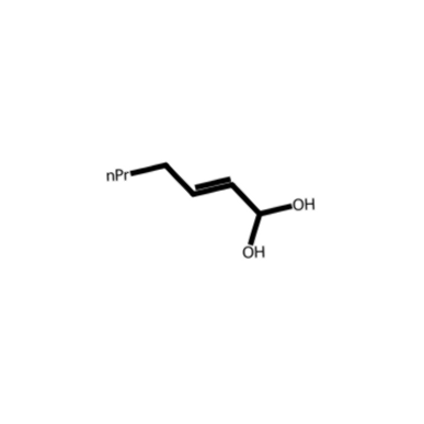 CCCCC=CC(O)O